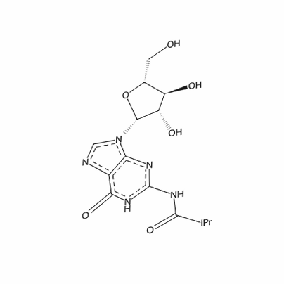 CC(C)C(=O)Nc1nc2c(ncn2[C@@H]2O[C@H](CO)[C@@H](O)[C@@H]2O)c(=O)[nH]1